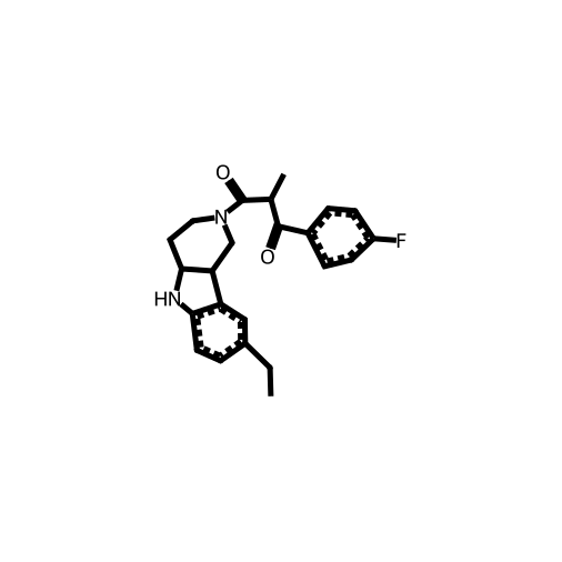 CCc1ccc2c(c1)C1CN(C(=O)C(C)C(=O)c3ccc(F)cc3)CCC1N2